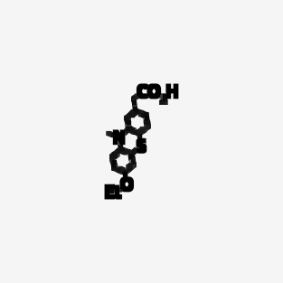 CCOc1ccc2c(c1)Sc1ccc(CC(=O)O)cc1N2C